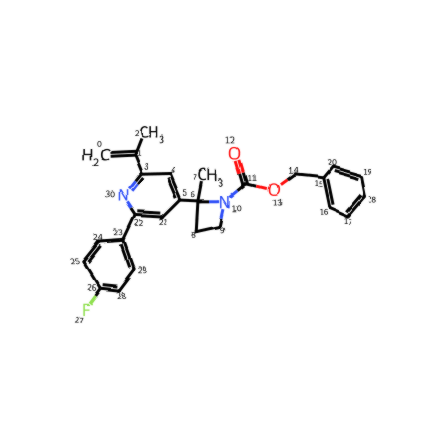 C=C(C)c1cc(C2(C)CCN2C(=O)OCc2ccccc2)cc(-c2ccc(F)cc2)n1